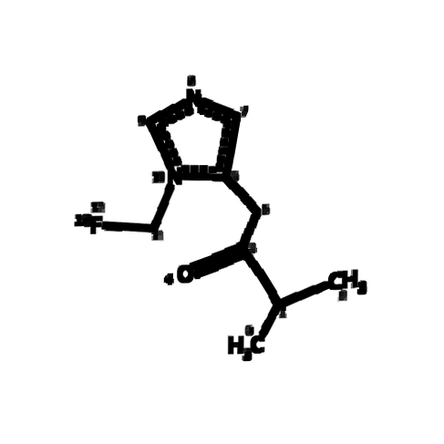 CC(C)C(=O)Cc1cncn1C[18F]